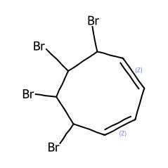 BrC1/C=C\C=C/C(Br)C(Br)C1Br